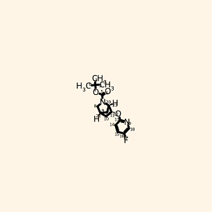 CC(C)(C)OC(=O)N1C[C@H]2C[C@@H](Oc3ccc(F)cn3)[C@@H]1C2